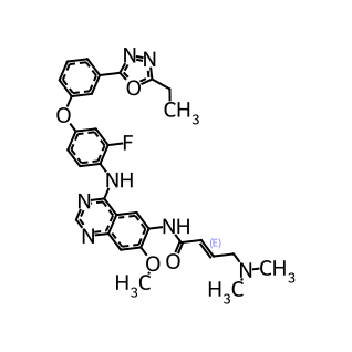 CCc1nnc(-c2cccc(Oc3ccc(Nc4ncnc5cc(OC)c(NC(=O)/C=C/CN(C)C)cc45)c(F)c3)c2)o1